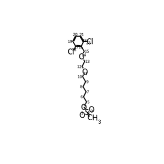 CS(=O)(=O)OCCCCCCOCCOCc1c(Cl)cccc1Cl